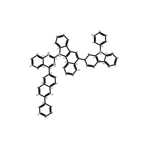 C1=CC(c2cc3c4ccccc4n(-c4nc(-c5ccc6cc(-c7ccccc7)ccc6c5)c5ccccc5n4)c3c3ccccc23)Cc2c1c1ccccc1n2-c1ccccc1